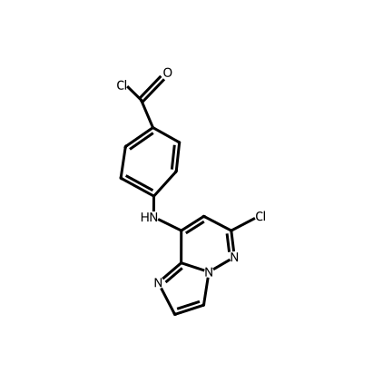 O=C(Cl)c1ccc(Nc2cc(Cl)nn3ccnc23)cc1